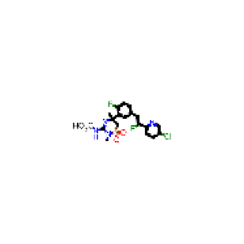 CN1C(NC(=O)O)=NC(C)(c2cc(C=C(F)c3ccc(Cl)cn3)ccc2F)CS1(=O)=O